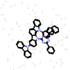 c1ccc(-c2cccc(-n3c4ccccc4c4ccc5c6cc(-n7c8ccccc8c8ccccc87)ccc6n(-c6nc(-c7ccccc7)nc(-c7ccccc7)n6)c5c43)c2)cc1